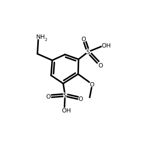 COc1c(S(=O)(=O)O)cc(CN)cc1S(=O)(=O)O